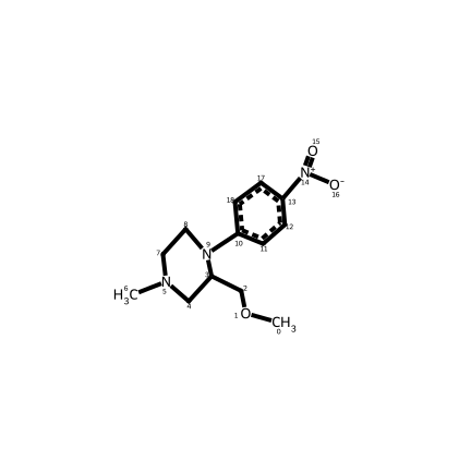 COCC1CN(C)CCN1c1ccc([N+](=O)[O-])cc1